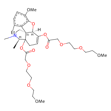 CCc1ccc(OC)c2c1[C@]13CCN(C)[C@H](C)C1(OC(=O)COCCOCCOC)CC=C(OC(=O)COCCOCCOC)[C@@H]3O2